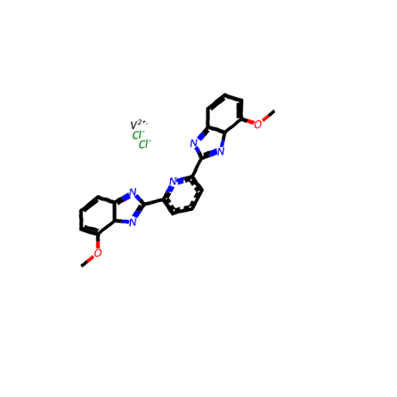 COC1=CC=CC2=NC(c3cccc(C4=NC5C(OC)=CC=CC5=N4)n3)=NC12.[Cl-].[Cl-].[V+2]